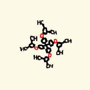 C#Cc1cc(C#C)cc(Oc2ccc(C(c3ccc(Oc4cc(C#C)cc(C#C)c4)cc3)(c3ccc(Oc4cc(C#C)cc(C#C)c4)cc3)c3ccc(Oc4cc(C#C)cc(C#C)c4)cc3)cc2)c1